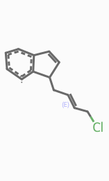 ClC/C=C/CC1C=Cc2ccc[c]c21